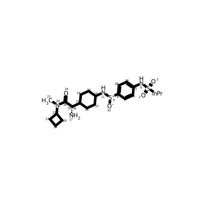 CCCS(=O)(=O)Nc1ccc([S+]([O-])NC2CCC([C@H](N)C(=O)N(C)C3CCC3)CC2)cc1